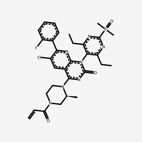 C=CC(=O)N1CCN(c2nc(=O)n(-c3c(CC)nc(P(C)(C)=O)nc3CC)c3nc(-c4ccccc4F)c(Cl)cc23)[C@@H](C)C1